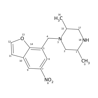 CC1CN(Cc2cc([N+](=O)[O-])cc3ccoc23)C(C)CN1